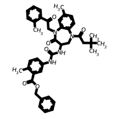 Cc1ccc2c(c1)N(CC(=O)c1ccccc1C)C(=O)C(NC(=O)Nc1ccc(C)c(C(=O)OCc3ccccc3)c1)CN2C(=O)CC(C)(C)C